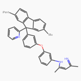 CCCC(C)c1ccc2c(c1)C(c1cccc(Oc3cccc(N/C(C)=C\C(C)=N)c3)c1)(c1ccccn1)c1cc(C(C)(C)C)ccc1-2